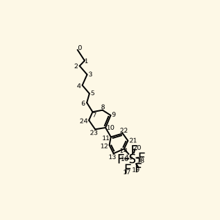 CCCCCCCC1CC=C(c2ccc(S(F)(F)(F)(F)F)cc2)CC1